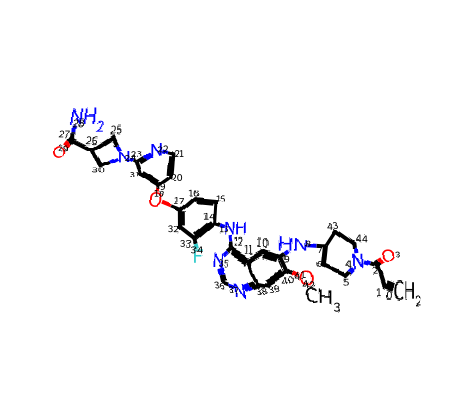 C=CC(=O)N1CCC(Nc2cc3c(Nc4ccc(Oc5ccnc(N6CC(C(N)=O)C6)c5)cc4F)ncnc3cc2OC)CC1